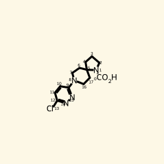 O=C(O)N1CCCC12CCN(c1ccc(Cl)nn1)CC2